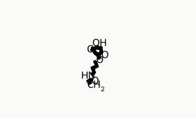 C=CC(=O)NCCCCOC1=CC(=O)C(O)=CC1=O